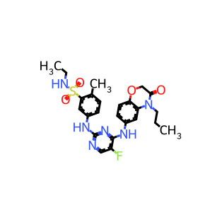 CCCN1C(=O)COc2ccc(Nc3nc(Nc4ccc(C)c(S(=O)(=O)NCC)c4)ncc3F)cc21